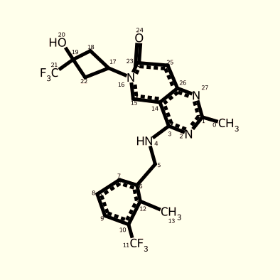 Cc1nc(NCc2cccc(C(F)(F)F)c2C)c2cn(C3CC(O)(C(F)(F)F)C3)c(=O)cc2n1